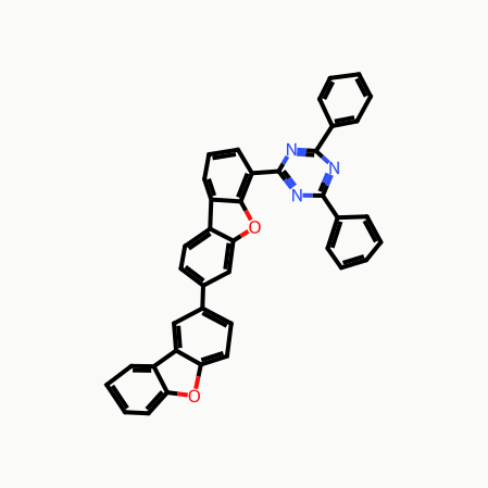 c1ccc(-c2nc(-c3ccccc3)nc(-c3cccc4c3oc3cc(-c5ccc6oc7ccccc7c6c5)ccc34)n2)cc1